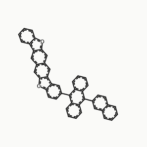 c1ccc2cc(-c3c4ccccc4c(-c4ccc5oc6cc7cc8c(cc7cc6c5c4)oc4ccccc48)c4ccccc34)ccc2c1